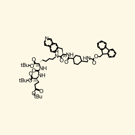 CC(C)(C)OC(=O)CC[C@H](NC(=O)N[C@@H](CCCCNC(=O)[C@@H](Cc1ccc2ccncc2c1)NC(=O)C1CCC(CNC(=O)OCC2c3ccccc3-c3ccccc32)CC1)C(=O)OC(C)(C)C)C(=O)OC(C)(C)C